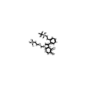 CC(C)(C)[Si](C)(C)CCc1ccccc1-c1cn(COCC[Si](C)(C)C)c2ncc(Br)c(Cl)c12